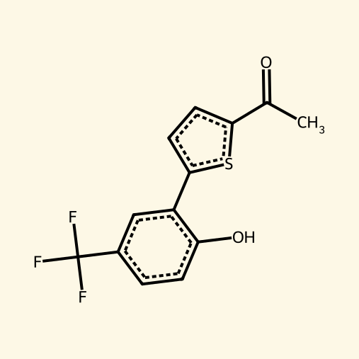 CC(=O)c1ccc(-c2cc(C(F)(F)F)ccc2O)s1